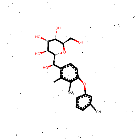 Cc1c([C@@H](O)[C@H]2O[C@H](CO)[C@@H](O)[C@H](O)[C@@H]2O)ccc(Oc2cccc(C#N)c2)c1[N+](=O)[O-]